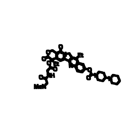 CCc1c2c(nc3ccc(OC(=O)N4CCC(N5CCCCC5)CC4)cc13)-c1cc3c(c(=O)n1C2)COC(=O)[C@@]3(CC)OC(=O)CNC(=O)CNC